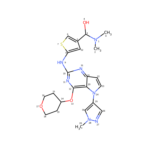 CN(C)C(O)c1csc(Nc2nc(OC3CCOCC3)c3c(ccn3-c3cnn(C)c3)n2)c1